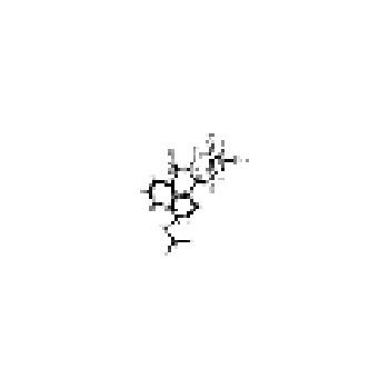 CC(C)Sc1ccc2c3c(cccc13)C(=O)N(OS(=O)(=O)C(F)(F)F)C2=O